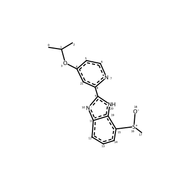 CC(C)Oc1ccnc(-c2nc3cccc([S+](C)[O-])c3[nH]2)c1